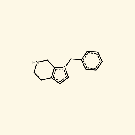 c1ccc(Cn2ccc3c2CNCC3)cc1